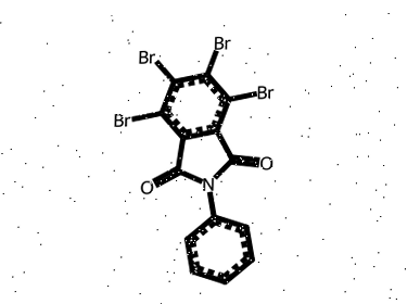 O=C1c2c(Br)c(Br)c(Br)c(Br)c2C(=O)N1c1ccccc1